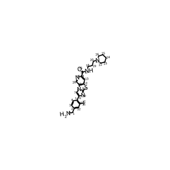 NCc1ccc(-c2cn3c(n2)sc2cc(C(=O)NCCCN4CCCCC4)ncc23)c(F)c1